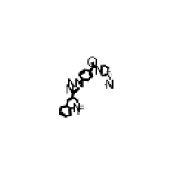 CN(C)C[C@@H]1CCN(C(=O)c2ccc(-n3cc(C4=Cc5ccccc5N(F)C4)nn3)cc2)C1